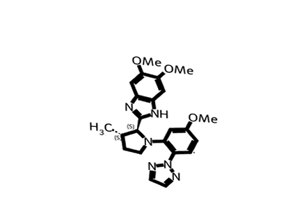 COc1c[c]c(-n2nccn2)c(N2CC[C@H](C)[C@H]2c2nc3cc(OC)c(OC)cc3[nH]2)c1